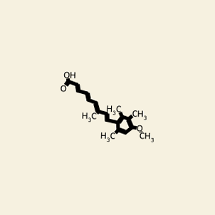 COc1cc(C)c(/C=C/C(C)=C/C=C/C=C/C(=O)O)c(C)c1C